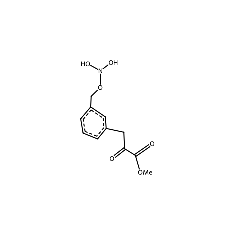 COC(=O)C(=O)Cc1cccc(CON(O)O)c1